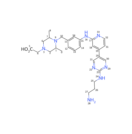 CC1CN(CC(=O)O)CC(C)N1Cc1cccc(Nc2cc(-c3cnc(NCCCN)nc3)ccn2)c1